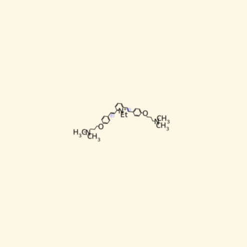 CC[n+]1c(/C=C/c2ccc(OCCCN(C)C)cc2)cccc1/C=C/c1ccc(OCCCN(C)C)cc1